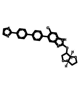 Clc1cc2[nH]c(OC3CO[C@@H]4CCO[C@H]34)nc2cc1-c1ccc(-c2ccc(-c3nccs3)cc2)cc1